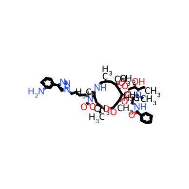 CCC(C(O)[C@@H](OCCNC(=O)c1ccccc1)O[C@@H]1[C@@H](C)C(=O)[C@@H](C)C(=O)O[C@H](CC)[C@@]2(C)OC(=O)N(CCCCn3cc(-c4cccc(N)c4)nn3)[C@@H]2[C@@H](C)NC[C@H](C)C[C@@]1(C)OC)N(C)C